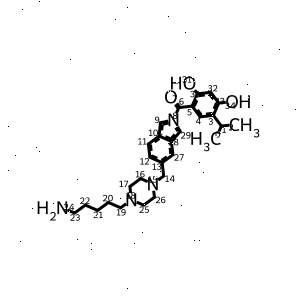 CC(C)c1cc(C(=O)n2cc3ccc(CN4CCN(CCCCCN)CC4)cc3c2)c(O)cc1O